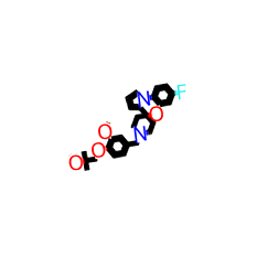 COc1cc(CN2CCC3(CC2)Oc2cc(F)ccc2-n2cccc23)ccc1OCC(C)(C)OC